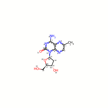 Cc1cnc2c(n1)c(N)nc(=O)n2[C@H]1C[C@H](O)[C@@H](CO)O1